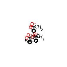 C=C(C(=O)[O-])c1ccccc1.C=C(C(=O)[O-])c1ccccc1.C=C(C(=O)[O-])c1ccccc1.[Fe+3]